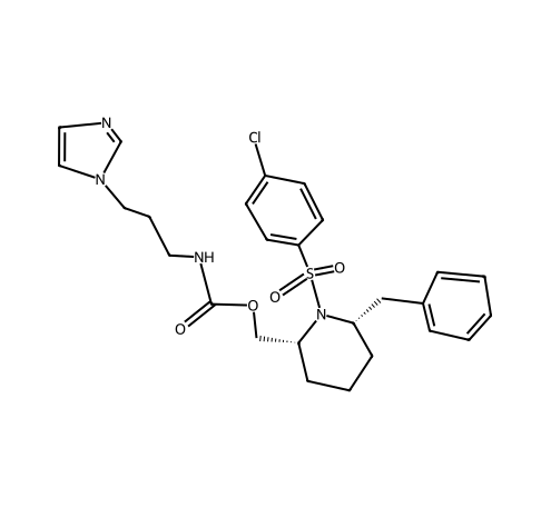 O=C(NCCCn1ccnc1)OC[C@H]1CCC[C@@H](Cc2ccccc2)N1S(=O)(=O)c1ccc(Cl)cc1